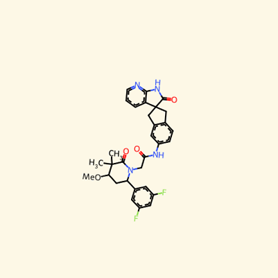 COC1CC(c2cc(F)cc(F)c2)N(CC(=O)Nc2ccc3c(c2)CC2(C3)C(=O)Nc3ncccc32)C(=O)C1(C)C